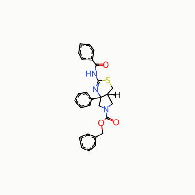 O=C(NC1=N[C@@]2(c3ccccc3)CN(C(=O)OCc3ccccc3)C[C@H]2CS1)c1ccccc1